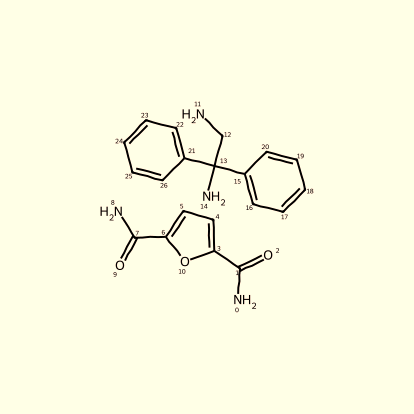 NC(=O)c1ccc(C(N)=O)o1.NCC(N)(c1ccccc1)c1ccccc1